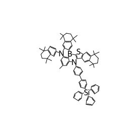 Cc1cc2c3c(c1)N(c1ccc(-c4ccc([Si](c5ccccc5)(c5ccccc5)c5ccccc5)cc4)cc1)c1c(sc4cc5c(cc14)C(C)(C)CCC5(C)C)B3c1cc3c(cc1N2c1ccc2c(c1)C(C)(C)CCC2(C)C)C(C)(C)CCC3(C)C